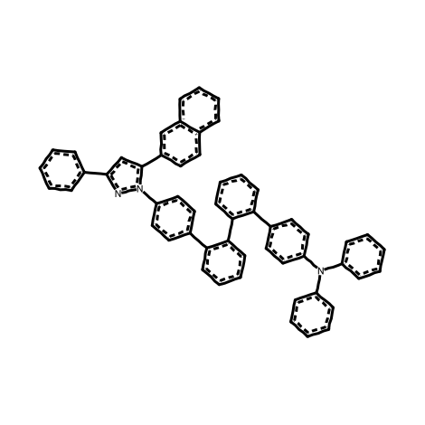 c1ccc(-c2cc(-c3ccc4ccccc4c3)n(-c3ccc(-c4ccccc4-c4ccccc4-c4ccc(N(c5ccccc5)c5ccccc5)cc4)cc3)n2)cc1